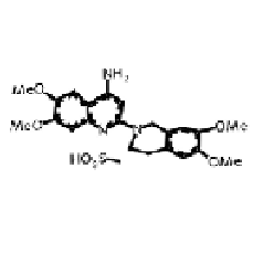 COc1cc2c(cc1OC)CN(c1cc(N)c3cc(OC)c(OC)cc3n1)CC2.CS(=O)(=O)O